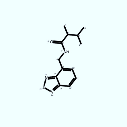 CC(C)C(C)C(=O)NCc1cccc2nsnc12